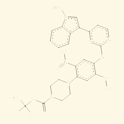 COc1cc(N2CCN(C(=O)OC(C)(C)C)CC2)c([N+](=O)[O-])cc1Nc1nccc(-c2cn(C)c3ccccc23)n1